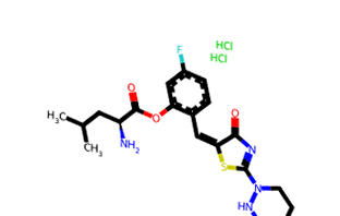 CC(C)C[C@H](N)C(=O)Oc1cc(F)ccc1/C=C1/SC(N2CCCCN2)=NC1=O.Cl.Cl